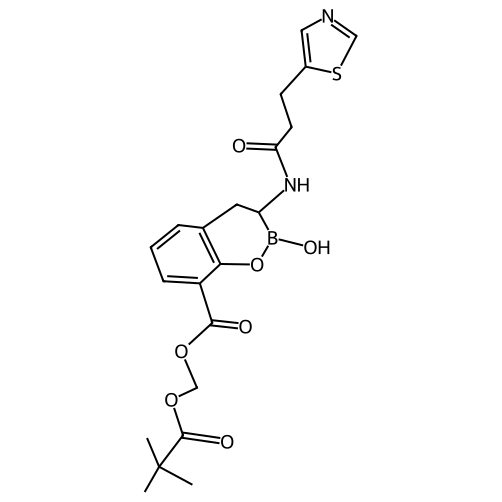 CC(C)(C)C(=O)OCOC(=O)c1cccc2c1OB(O)C(NC(=O)CCc1cncs1)C2